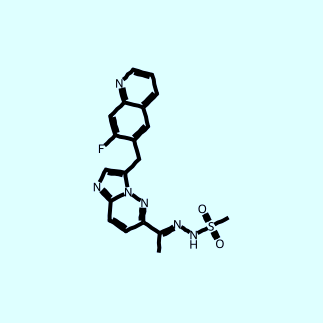 CC(=NNS(C)(=O)=O)c1ccc2ncc(Cc3cc4cccnc4cc3F)n2n1